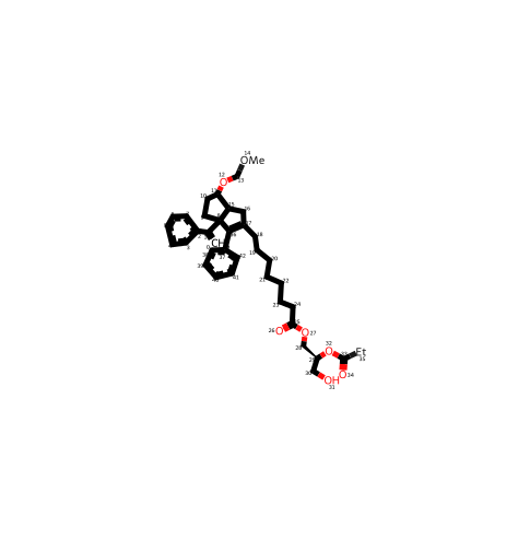 C=C(c1ccccc1)C12CCC(OCOC)C1CC(CCCCCCCC(=O)OC[C@H](CO)OC(=O)CC)=C2c1ccccc1